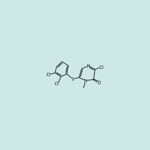 Cn1c(Sc2cccc(Cl)c2Cl)cnc(Cl)c1=O